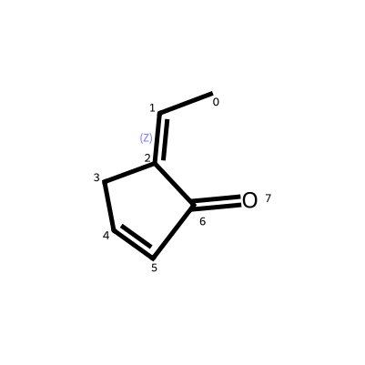 C/C=C1/CC=CC1=O